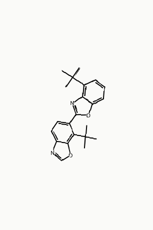 CC(C)(C)c1cccc2oc(-c3ccc4ncoc4c3C(C)(C)C)nc12